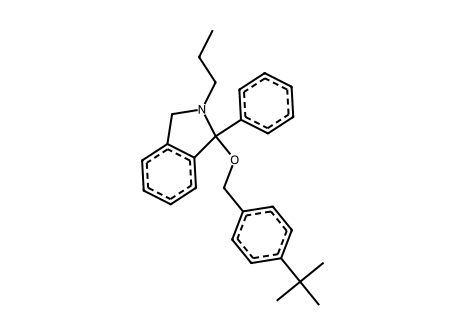 CCCN1Cc2ccccc2C1(OCc1ccc(C(C)(C)C)cc1)c1ccccc1